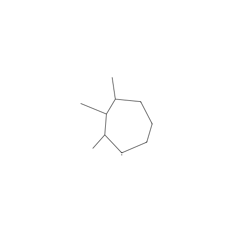 CC1[CH]CCCC(C)C1C